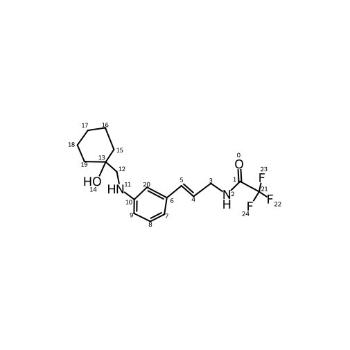 O=C(NCC=Cc1cccc(NCC2(O)CCCCC2)c1)C(F)(F)F